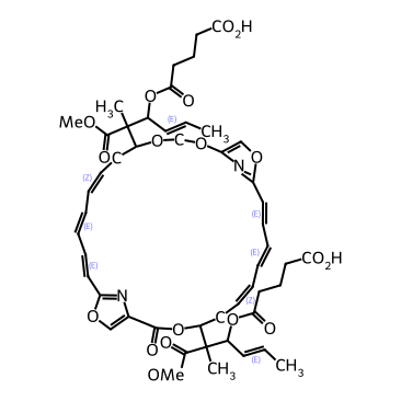 C/C=C/C(OC(=O)CCCC(=O)O)C(C)(C(=O)OC)C1C\C=C/C=C/C=C/c2nc(co2)C(=O)OC(C(C)(C(=O)OC)C(/C=C/C)OC(=O)CCCC(=O)O)C\C=C/C=C/C=C/c2nc(co2)OCO1